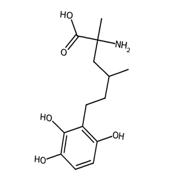 CC(CCc1c(O)ccc(O)c1O)CC(C)(N)C(=O)O